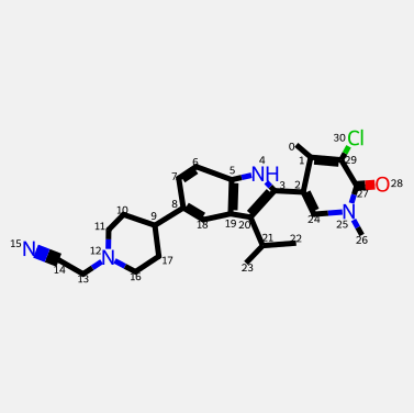 Cc1c(-c2[nH]c3ccc(C4CCN(CC#N)CC4)cc3c2C(C)C)cn(C)c(=O)c1Cl